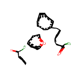 C=CC(=O)Cl.O=C(Cl)C=Cc1ccccc1.c1ccoc1